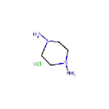 Cl.NN1CCN(N)CC1